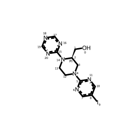 OC[C@H]1CN(c2ncc(I)cn2)CCN1c1ncncn1